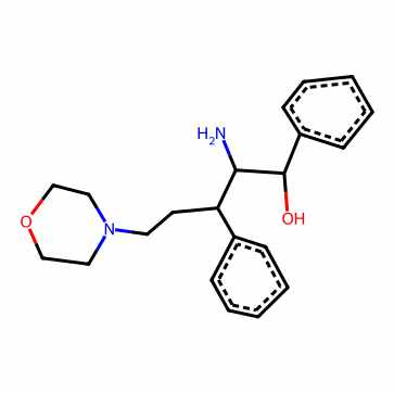 NC(C(O)c1ccccc1)C(CCN1CCOCC1)c1ccccc1